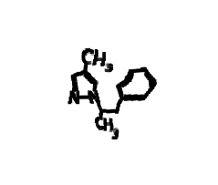 Cc1cnn(C(C)Cc2ccccc2)c1